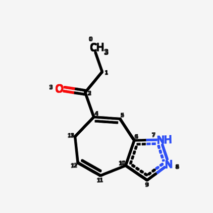 CCC(=O)C1=Cc2[nH]ncc2C=CC1